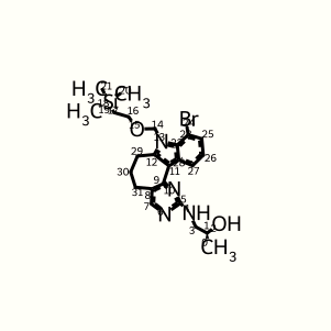 C[C@H](O)CNc1ncc2c(n1)-c1c(n(COCC[Si](C)(C)C)c3c(Br)cccc13)CCC2